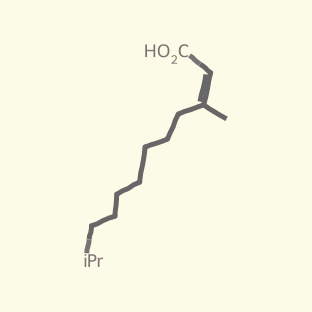 CC(=CC(=O)O)CCCCCCCC(C)C